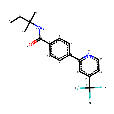 CCC(C)(C)NC(=O)c1ccc(-c2cc(C(F)(F)F)ccn2)cc1